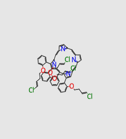 ClC=CCCOc1ccccc1C1=CC2=CC3=NC(=CC4=NC(=CC5=NC(=C(c6ccccc6OCCC=CCl)C1=N2)C(c1ccccc1OCCC=CCl)=C5c1ccccc1OCCC=CCl)C=C4)C=C3